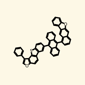 c1ccc(-c2coc3ccc4c5cc(-c6c7ccccc7c(-c7cccc8cc9oc%10ccccc%10c9cc78)c7ccccc67)ccc5sc4c23)cc1